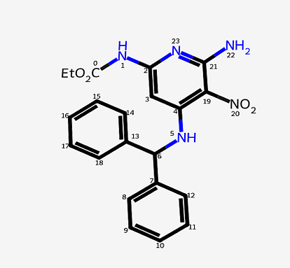 CCOC(=O)Nc1cc(NC(c2ccccc2)c2ccccc2)c([N+](=O)[O-])c(N)n1